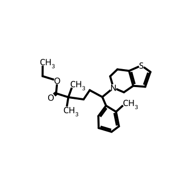 CCOC(=O)C(C)(C)CCC(c1ccccc1C)N1CCc2sccc2C1